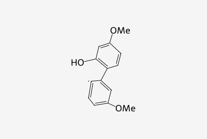 COc1cc[c]c(-c2ccc(OC)cc2O)c1